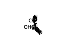 C/C(=C\N=C(/N(C)C=O)N1CCC2(CC1)CO[C@@H](C)C2)Sc1ccn2nccc2c1Cl